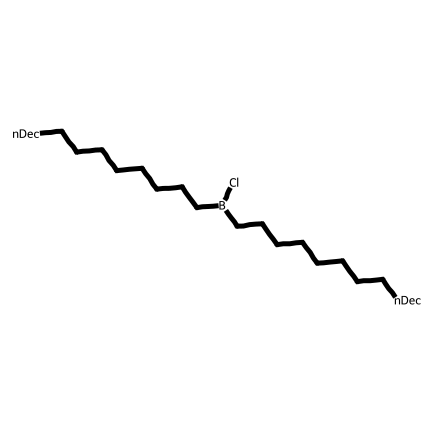 CCCCCCCCCCCCCCCCCCB(Cl)CCCCCCCCCCCCCCCCCC